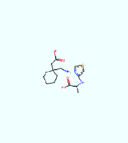 C[C@H](Nc1cscn1)C(=O)O.NCC1(CC(=O)O)CCCCC1